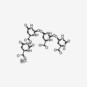 O=C([O-])c1cc(=O)[nH]c(=O)[nH]1.O=C([O-])c1cc(=O)[nH]c(=O)[nH]1.O=C([O-])c1cc(=O)[nH]c(=O)[nH]1.O=C([O-])c1cc(=O)[nH]c(=O)[nH]1.[Zn+2].[Zn+2]